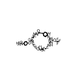 CC1(C)CNC(=O)c2ccc(cc2)Nc2nc(nc(OCC(F)(F)F)n2)NCc2ccc(c(Cl)c2)OCCCN(C(=O)Oc2ccc(NO)cc2)C1